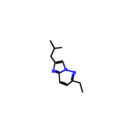 CCc1ccc2nc(CC(C)C)cn2n1